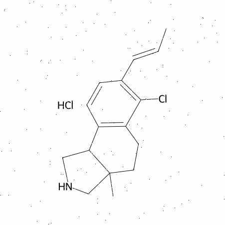 CC=Cc1ccc2c(c1Cl)CCC1(C)CNCC21.Cl